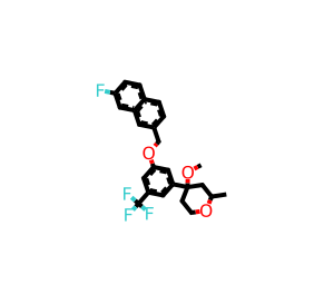 COC1(c2cc(OCc3ccc4ccc(F)cc4c3)cc(C(F)(F)F)c2)CCOC(C)C1